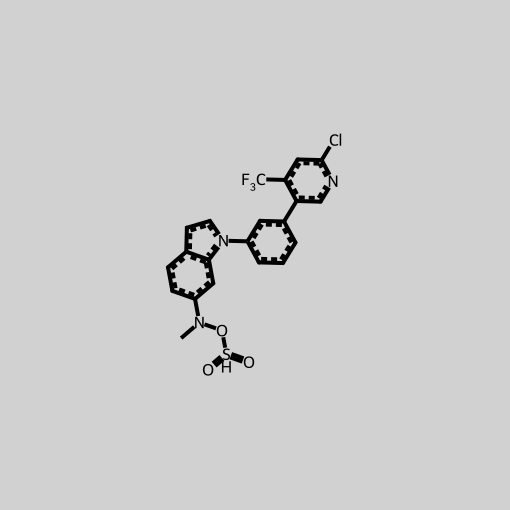 CN(O[SH](=O)=O)c1ccc2ccn(-c3cccc(-c4cnc(Cl)cc4C(F)(F)F)c3)c2c1